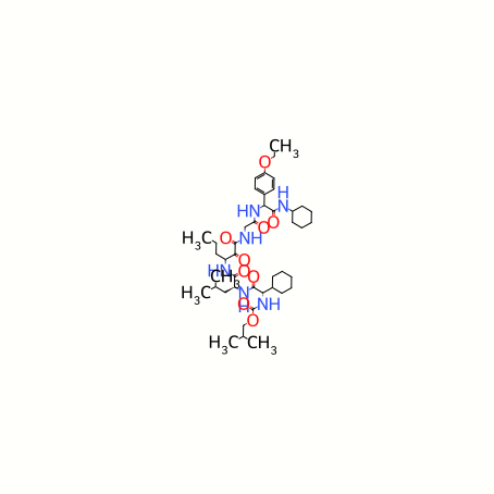 CCCC(NC(=O)[C@H](CC(C)C)NC(=O)[C@@H](NC(=O)OCC(C)C)C1CCCCC1)C(=O)C(=O)NCC(=O)NC(C(=O)NC1CCCCC1)c1ccc(OCC)cc1